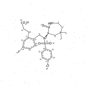 CC1(C)CCNC(=O)[C@H](N(Cc2ccc(F)cc2CCC(=O)O)S(=O)(=O)c2ccc(Cl)cc2)C1